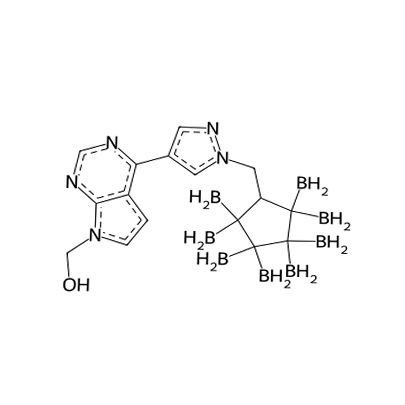 BC1(B)C(Cn2cc(-c3ncnc4c3ccn4CO)cn2)C(B)(B)C(B)(B)C1(B)B